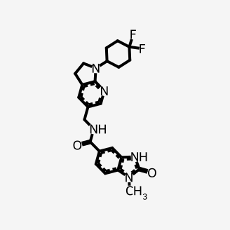 Cn1c(=O)[nH]c2cc(C(=O)NCc3cnc4c(c3)CCN4C3CCC(F)(F)CC3)ccc21